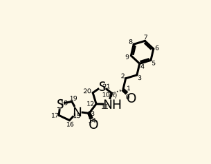 O=C(CCc1ccccc1)[C@@H]1NC(C(=O)N2CCSC2)CS1